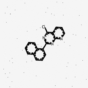 Clc1nc(-c2cccc3ccccc23)nc2ncccc12